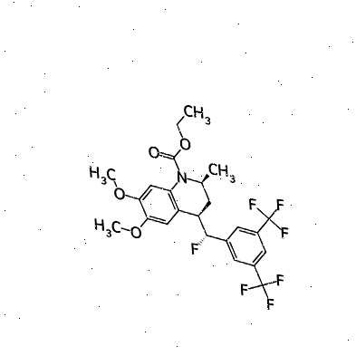 CCOC(=O)N1c2cc(OC)c(OC)cc2[C@H]([C@@H](F)c2cc(C(F)(F)F)cc(C(F)(F)F)c2)C[C@@H]1C